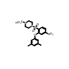 Cc1cc(C)cc(Oc2cc([N+](=O)[O-])ccc2S(=O)(=O)N2CCN(C(=O)O)CC2)c1